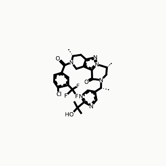 C[C@@H]1Cc2nn3c(c2CN1C(=O)c1ccc(Cl)c(C(F)(F)F)c1)C(=O)N([C@H](C)c1cnc(C(C)(C)O)nc1)C[C@H]3C